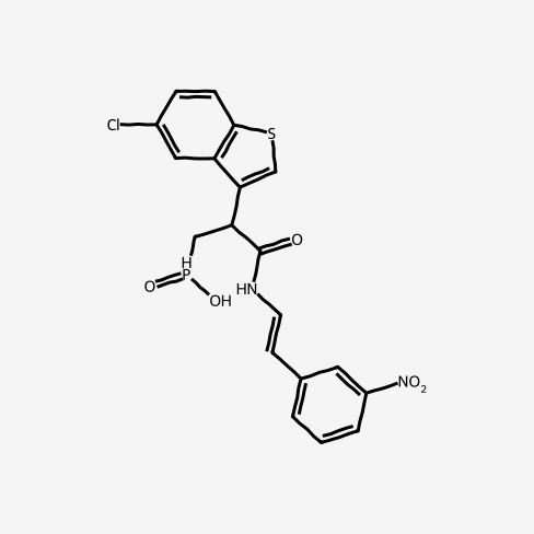 O=C(N/C=C/c1cccc([N+](=O)[O-])c1)C(C[PH](=O)O)c1csc2ccc(Cl)cc12